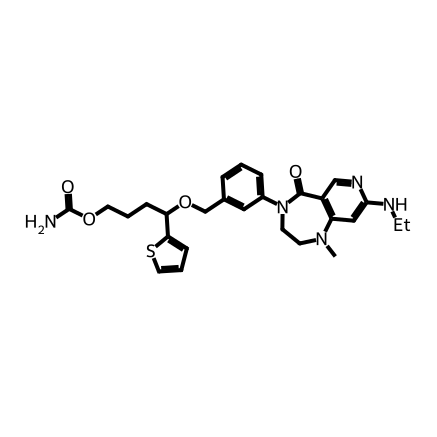 CCNc1cc2c(cn1)C(=O)N(c1cccc(COC(CCCOC(N)=O)c3cccs3)c1)CCN2C